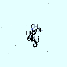 C/C=C/C1=C(CO)C=CC(N2CCOc3cc(C(=O)N4CCCCC4)[nH]c32)N1